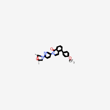 C[C@@H]1CN(c2ccc(-n3ccc4c(-c5ccc(OC(F)(F)F)cc5)cccc4c3=O)cn2)C[C@H](C)O1